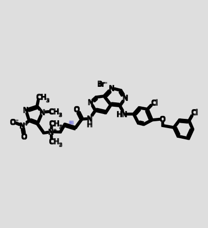 Cc1nc([N+](=O)[O-])c(C[N+](C)(C)C/C=C/C(=O)Nc2cc3c(Nc4ccc(OCc5cccc(Cl)c5)c(Cl)c4)ncnc3cn2)n1C.[Br-]